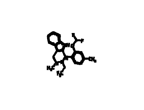 Cc1ccc([C@@H]2c3[nH]c4ccccc4c3C[C@@H](C)N2CC(F)(F)F)c(OC(F)F)c1